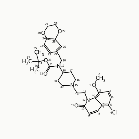 COc1ccc(Cl)c2ccc(=O)n(CCN3CCC(N(Cc4ccc5c(c4)OCCO5)C(=O)OC(C)(C)C)CC3)c12